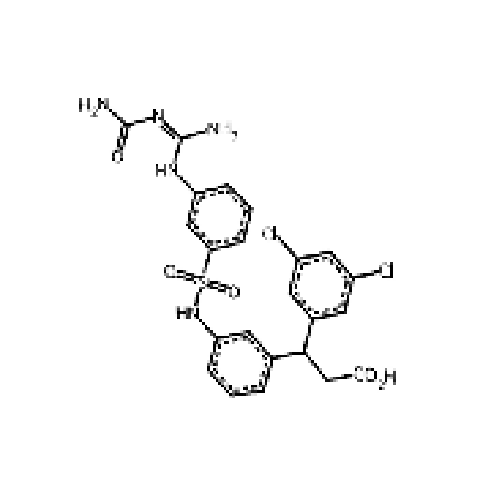 NC(=O)/N=C(/N)Nc1cccc(S(=O)(=O)Nc2cccc(C(CC(=O)O)c3cc(Cl)cc(Cl)c3)c2)c1